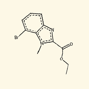 CCOC(=O)c1nc2cccc(Br)c2n1C